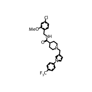 COc1cc(Cl)ccc1CNC(=O)C1CCN(Cc2ccn(-c3ccc(C(F)(F)F)cc3)c2)CC1